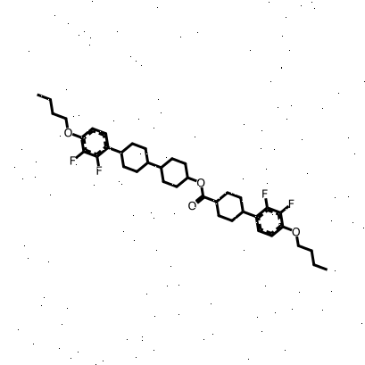 CCCCOc1ccc(C2CCC(C(=O)OC3CCC(C4CCC(c5ccc(OCCCC)c(F)c5F)CC4)CC3)CC2)c(F)c1F